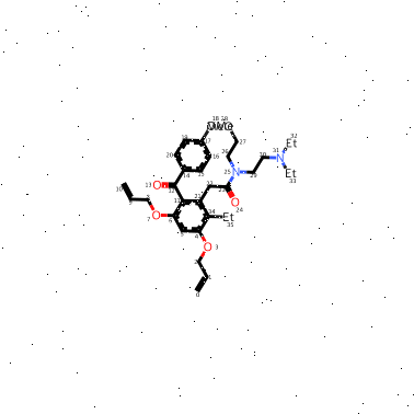 C=CCOc1cc(OCC=C)c(C(=O)c2ccc(OC)cc2)c(CC(=O)N(CCOC)CCN(CC)CC)c1CC